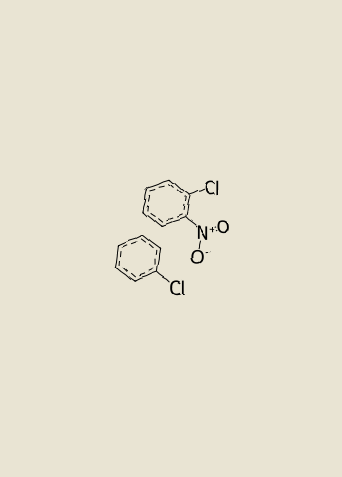 Clc1ccccc1.O=[N+]([O-])c1ccccc1Cl